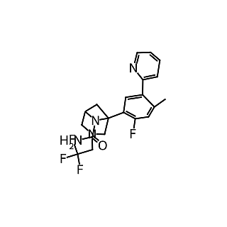 Cc1cc(F)c(C23CC(CN(CC(F)(F)F)C2)N3C(N)=O)cc1-c1ccccn1